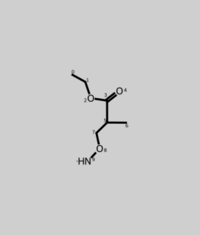 CCOC(=O)C(C)CO[NH]